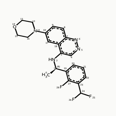 C[C@@H](Nc1cnnc2ccc(N3CCOCC3)cc12)c1cccc(C(F)F)c1F